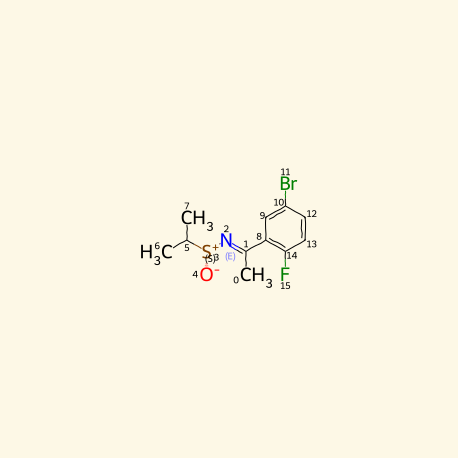 C/C(=N\[S@+]([O-])C(C)C)c1cc(Br)ccc1F